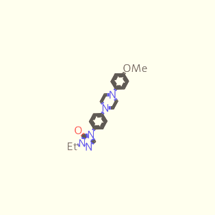 CCn1ncn(-c2ccc(N3CCN(c4ccc(OC)cc4)CC3)cc2)c1=O